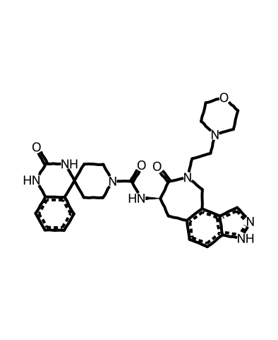 O=C1Nc2ccccc2C2(CCN(C(=O)N[C@@H]3Cc4ccc5[nH]ncc5c4CN(CCN4CCOCC4)C3=O)CC2)N1